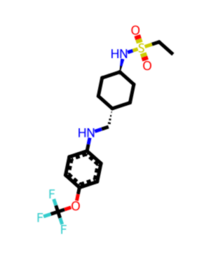 CCS(=O)(=O)N[C@H]1CC[C@H](CNc2ccc(OC(F)(F)F)cc2)CC1